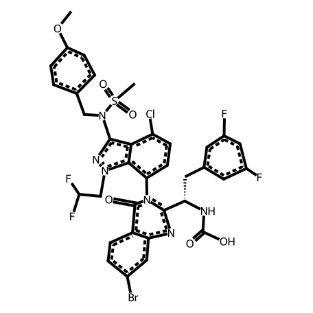 COc1ccc(CN(c2nn(CC(F)F)c3c(-n4c([C@H](Cc5cc(F)cc(F)c5)NC(=O)O)nc5cc(Br)ccc5c4=O)ccc(Cl)c23)S(C)(=O)=O)cc1